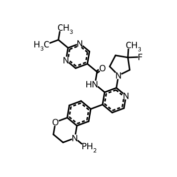 CC(C)c1ncc(C(=O)Nc2c(-c3ccc4c(c3)N(P)CCO4)ccnc2N2CCC(C)(F)C2)cn1